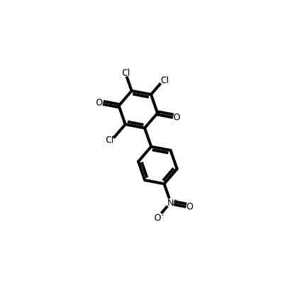 O=C1C(Cl)=C(Cl)C(=O)C(c2ccc([N+](=O)[O-])cc2)=C1Cl